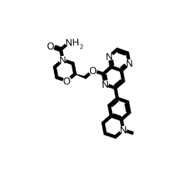 CN1CCCc2cc(-c3cc4nccnc4c(OC[C@@H]4CN(C(N)=O)CCO4)n3)ccc21